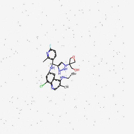 Cc1nc(F)ccc1[C@H](Nc1cc(Cl)c2ncc(C#N)c(NCC(C)(C)C)c2c1)C1=CN(C2(CO)COC2)NN1